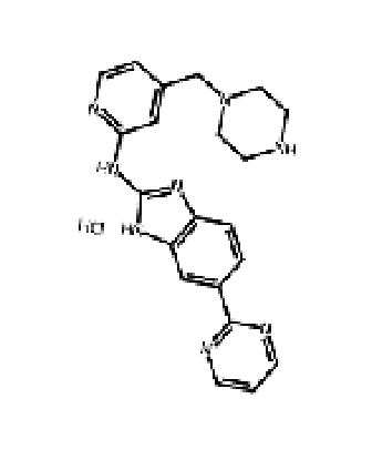 Cl.c1cnc(-c2ccc3nc(Nc4cc(CN5CCNCC5)ccn4)[nH]c3c2)nc1